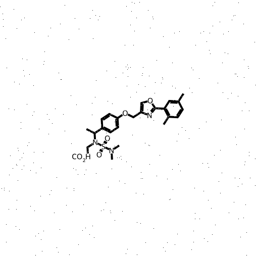 Cc1ccc(C)c(-c2nc(COc3ccc(C(C)N(CC(=O)O)S(=O)(=O)N(C)C)cc3)co2)c1